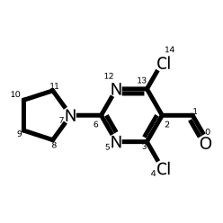 O=Cc1c(Cl)nc(N2CCCC2)nc1Cl